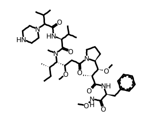 CC[C@H](C)[C@@H](C(CC(=O)N1CCC[C@H]1[C@H](OC)[C@@H](C)C(=O)N[C@@H](Cc1ccccc1)C(=O)NOC)OC)N(C)C(=O)[C@@H](NC(=O)C(C(C)C)N1CCNCC1)C(C)C